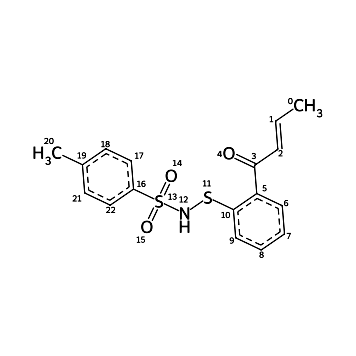 CC=CC(=O)c1ccccc1SNS(=O)(=O)c1ccc(C)cc1